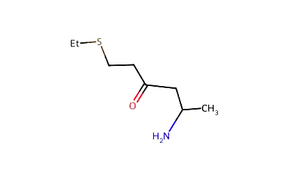 CCSCCC(=O)CC(C)N